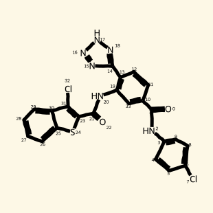 O=C(Nc1ccc(Cl)cc1)c1ccc(-c2nn[nH]n2)c(NC(=O)c2sc3ccccc3c2Cl)c1